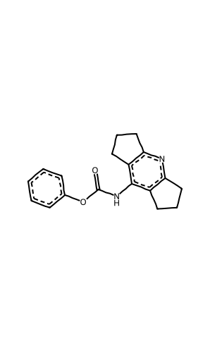 O=C(Nc1c2c(nc3c1CCC3)CCC2)Oc1ccccc1